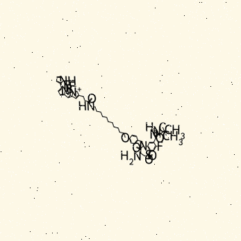 CC(C)(C)c1nnc(-c2cc3c(cc2F)S(=O)(=O)C[C@H](N)C(=O)N3Cc2ccc(OCCCCCCCCCCCNC(=O)CCC3=CC4=Cc5ccc(-c6ccc[nH]6)n5[B-](F)(F)[N+]4=C3)cc2)o1